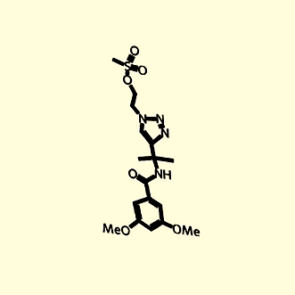 COc1cc(OC)cc(C(=O)NC(C)(C)c2cn(CCOS(C)(=O)=O)nn2)c1